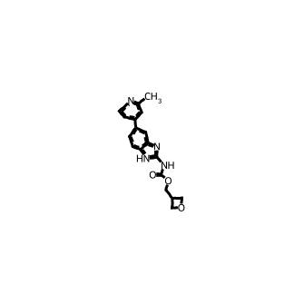 Cc1cc(-c2ccc3[nH]c(NC(=O)OCC4COC4)nc3c2)ccn1